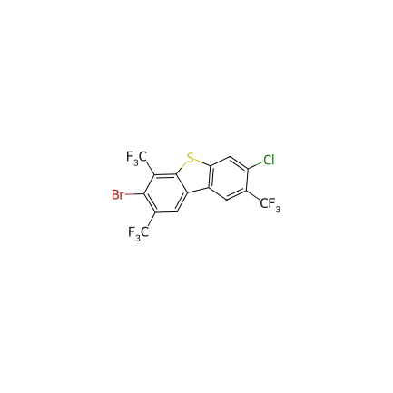 FC(F)(F)c1cc2c(cc1Cl)sc1c(C(F)(F)F)c(Br)c(C(F)(F)F)cc12